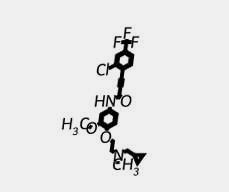 COc1cc(NC(=O)C#Cc2ccc(C(F)(F)F)cc2Cl)ccc1OCCN(C)CC1CC1